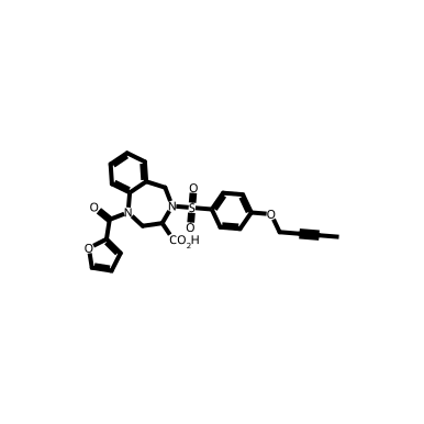 CC#CCOc1ccc(S(=O)(=O)N2Cc3ccccc3N(C(=O)c3ccco3)CC2C(=O)O)cc1